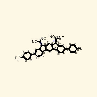 [C-]#[N+]/C(C#N)=C1/c2cc(-c3ccc(C(F)(F)F)cc3)ccc2-c2cc3c(cc21)/C(=C(\C#N)[N+]#[C-])c1cc(-c2ccc(C)cc2)ccc1-3